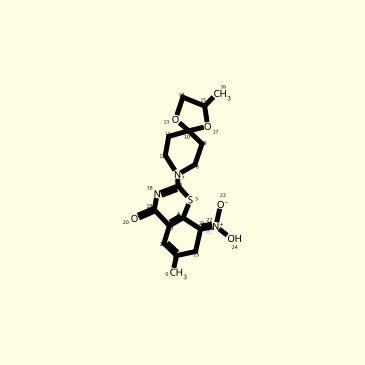 CC1=Cc2c(sc(N3CCC4(CC3)OCC(C)O4)nc2=O)/C(=[N+](\[O-])O)C1